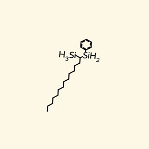 CCCCCCCCCCCCCC([SiH3])[SiH2]c1ccccc1